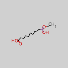 CCOP(O)CCCCCCCCCC(=O)O